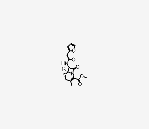 COC(=O)C1=C(C)CS[C@H]2C(NC(=O)Cc3ccco3)C(=O)N12